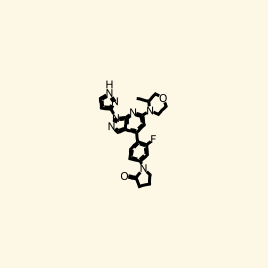 CC1COCCN1c1cc(-c2ccc(N3CCCC3=O)cc2F)c2cnn(-c3cc[nH]n3)c2n1